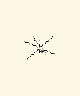 CCCCCCCCC(N)(CCCCCCCC)C(CCCCN)(CCCCCCCC)CCCCCCCC